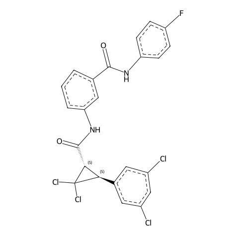 O=C(Nc1ccc(F)cc1)c1cccc(NC(=O)[C@@H]2[C@@H](c3cc(Cl)cc(Cl)c3)C2(Cl)Cl)c1